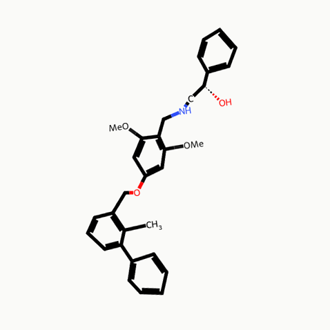 COc1cc(OCc2cccc(-c3ccccc3)c2C)cc(OC)c1CNC[C@@H](O)c1ccccc1